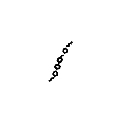 CC/C=C/[C@H]1CC[C@H](c2ccc(-c3ccc(CC[C@H]4CC[C@H](CCCF)CC4)cc3)cc2)CC1